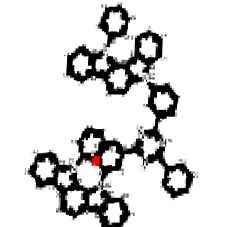 c1ccc(-c2nc(-c3cccc(-n4c5ccccc5c5c4ccc4c6ccccc6n(-c6ccccc6)c45)c3)nc(-c3cccc(-n4c5ccccc5c5ccc6c7ccccc7n(-c7ccccc7)c6c54)c3)n2)cc1